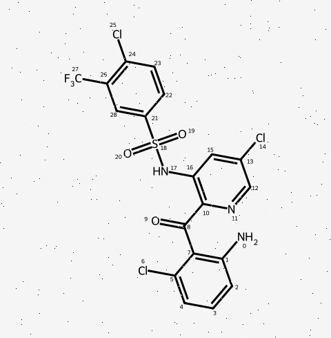 Nc1cccc(Cl)c1C(=O)c1ncc(Cl)cc1NS(=O)(=O)c1ccc(Cl)c(C(F)(F)F)c1